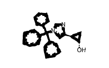 O[C@H]1C[C@@H]1c1cn(C(c2ccccc2)(c2ccccc2)c2ccccc2)cn1